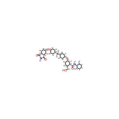 Cc1cccc(C)c1N(C)C(=O)c1cc(Oc2ccc(C(C)(C)c3ccc(Oc4ccc5c(c4)C(=O)N(C)C5=O)cc3)cc2)ccc1CO